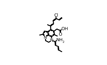 C=C/C(Cl)=C\C=C(/C)c1c(CC(=O)O)c(C)c2c3c1cc(C)n3CCN2/C(N)=C/C=C/C